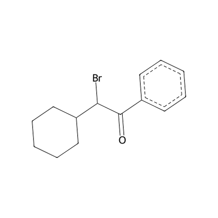 O=C(c1ccccc1)C(Br)C1CCCCC1